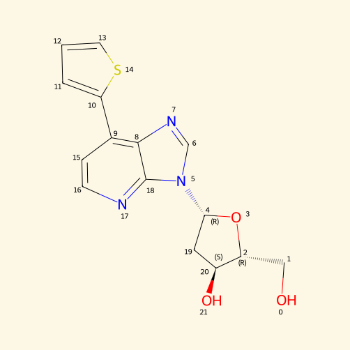 OC[C@H]1O[C@@H](n2cnc3c(-c4cccs4)ccnc32)C[C@@H]1O